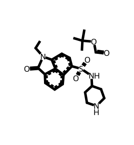 CC(C)(C)OC=O.CCN1C(=O)c2cccc3c(S(=O)(=O)NC4CCNCC4)ccc1c23